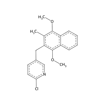 COc1c(C)c(Cc2ccc(Cl)nc2)c(OC)c2ccccc12